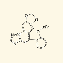 CCCOc1ccccc1-c1cc2ncnn2c2cc3c(cc12)OCO3